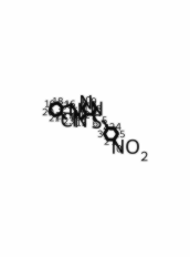 O=[N+]([O-])c1ccc(CSc2ncnc3c2ncn3Cc2ccccc2Cl)cc1